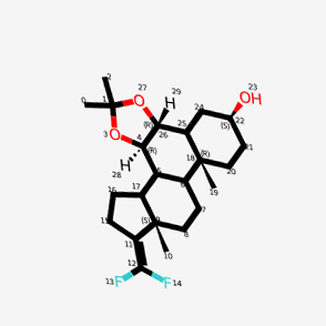 CC1(C)O[C@@H]2C3C(CC[C@]4(C)C(=C(F)F)CCC34)[C@@]3(C)CC[C@H](O)CC3[C@H]2O1